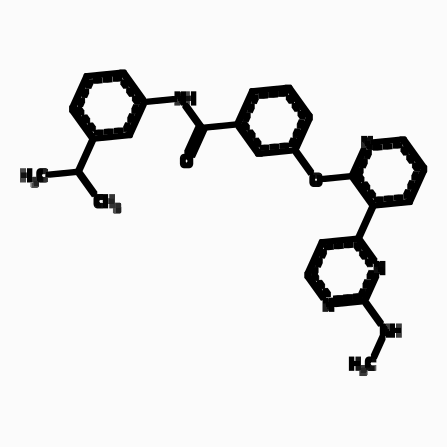 CNc1nccc(-c2cccnc2Oc2cccc(C(=O)Nc3cccc(C(C)C)c3)c2)n1